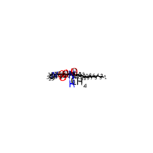 C.CCCCCCCCCCCCCCCC(=O)NCCOC(=O)OCCN1CCCCC1